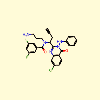 C#CCC(c1nc2cc(Cl)ccc2c(=O)n1Nc1ccccc1)N(CCCN)C(=O)c1cc(F)cc(F)c1